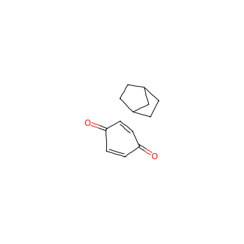 C1CC2CCC1C2.O=C1C=CC(=O)C=C1